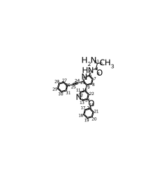 CC(N)C(=O)Nc1ccc(-c2cncc(Oc3ccccc3)c2)c(C#Cc2ccccc2)n1